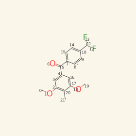 COc1cc(C(=O)c2[c]cc(C(F)F)cc2)cc(OC)c1C